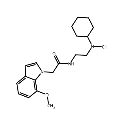 COc1cccc2ccn(CC(=O)NCCN(C)C3CCCCC3)c12